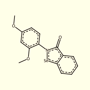 COc1ccc(-n2[se]c3ccccc3c2=O)c(OC)c1